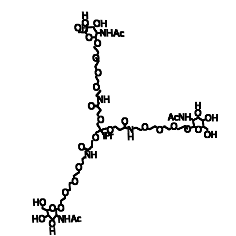 CC(=O)NC1C(OCCOCCOCCOCCNC(=O)CCOCC(COCCC(=O)NCCOCCOCCOCCOC2OC(CO)C(O)C(O)C2NC(C)=O)(COCCC(=O)NCCOCCOCCOCCOC2OC(CO)C(O)C(O)C2NC(C)=O)C(C)C)OC(CO)C(O)C1O